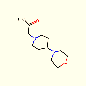 CC(=O)CN1CCC(N2CCOCC2)CC1